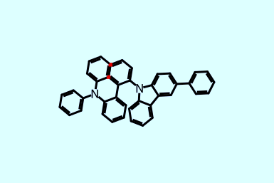 c1ccc(-c2ccc3c(c2)c2ccccc2n3-c2ccccc2-c2ccccc2N(c2ccccc2)c2ccccc2)cc1